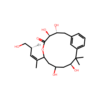 CC[C@H](/C=C(/C)C1CC(O)C[C@H](O)C(C)(C)c2cccc(c2)C[C@@H](O)[C@H](O)C(=O)O1)CO